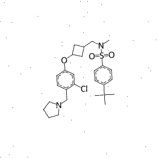 CN(CC1CC(Oc2ccc(CN3CCCC3)c(Cl)c2)C1)S(=O)(=O)c1ccc(C(C)(C)C)cc1